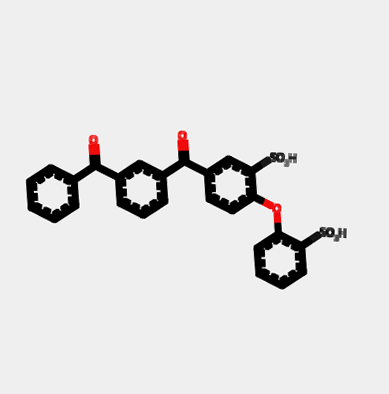 O=C(c1ccccc1)c1cccc(C(=O)c2ccc(Oc3ccccc3S(=O)(=O)O)c(S(=O)(=O)O)c2)c1